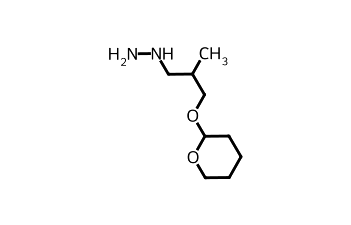 CC(CNN)COC1CCCCO1